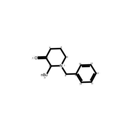 CCCCC1C(=O)CCCN1Cc1ccccc1